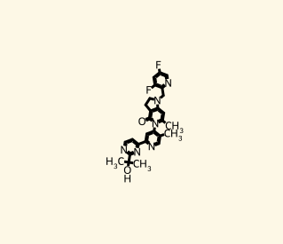 Cc1cnc(-c2ccnc(C(C)(C)O)n2)cc1-n1c(C)cc2c(c1=O)CCN2Cc1ncc(F)cc1F